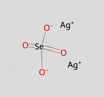 O=[Se](=O)([O-])[O-].[Ag+].[Ag+]